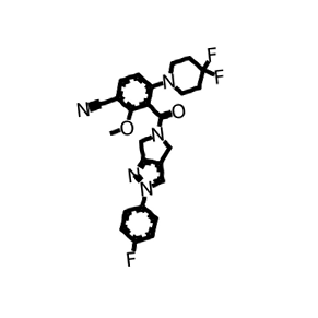 COc1c(C#N)ccc(N2CCC(F)(F)CC2)c1C(=O)N1Cc2cn(-c3ccc(F)cc3)nc2C1